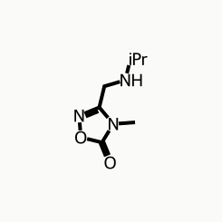 CC(C)NCc1noc(=O)n1C